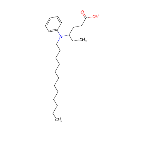 CCCCCCCCCCCCN(c1ccccc1)C(CC)CCC(=O)O